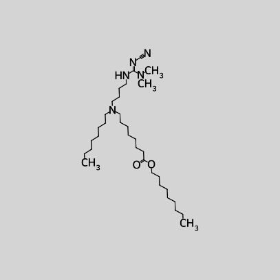 CCCCCCCCCOC(=O)CCCCCCCN(CCCCCCCC)CCCCN/C(=N/C#N)N(C)C